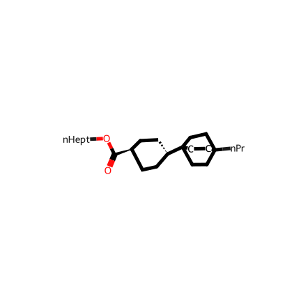 CCCCCCCOC(=O)[C@H]1CC[C@H](C23CCC(CCC)(CC2)CC3)CC1